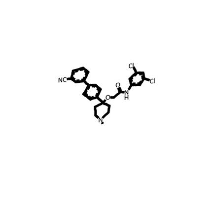 CN1CCC(OCC(=O)Nc2cc(Cl)cc(Cl)c2)(c2ccc(-c3cccc(C#N)c3)cc2)CC1